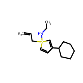 C=CCS1(NCC)C=CC(C2CCCCC2)=C1